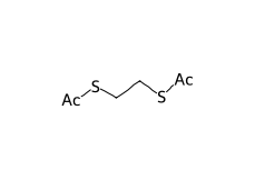 CC(=O)SCCSC(C)=O